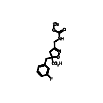 CC(C)(C)OC(=O)NCC1=NOC(Cc2cccc(F)c2)(C(=O)O)C1